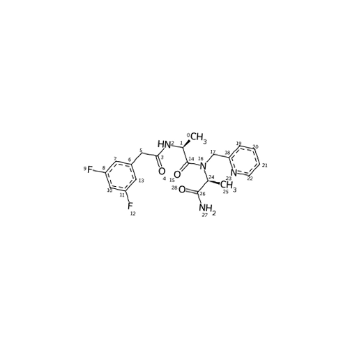 C[C@H](NC(=O)Cc1cc(F)cc(F)c1)C(=O)N(Cc1ccccn1)[C@@H](C)C(N)=O